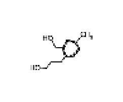 Cc1ccc(CCCO)c(CO)c1